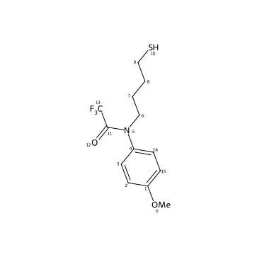 COc1ccc(N(CCCCS)C(=O)C(F)(F)F)cc1